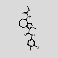 COC(=O)NC1CCCCc2c1cn(C)c2C(=O)Nc1ccc(F)c(Cl)c1